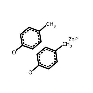 Cc1ccc([O-])cc1.Cc1ccc([O-])cc1.[Zn+2]